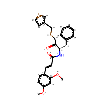 COc1ccc(C=CC(=O)N[C@@H](Cc2ccccc2)C(=O)CSCc2ccsc2)c(OC)c1